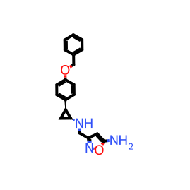 Nc1cc(CN[C@@H]2C[C@H]2c2ccc(OCc3ccccc3)cc2)no1